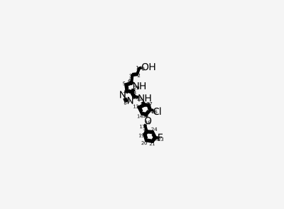 OCC=Cc1cc2ncnc(Nc3ccc(OCc4cccc(F)c4)c(Cl)c3)c2[nH]1